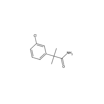 CC(C)(C(N)=O)c1cccc(Cl)c1